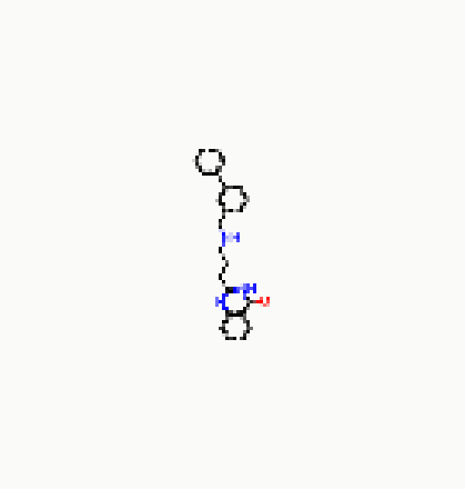 O=c1[nH]c(CCCNCc2cccc(-c3ccccc3)c2)nc2ccccc12